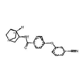 N#Cc1cccc(Oc2ccc(C(=O)NC3CN4CC[C@H]3C4)cc2)c1